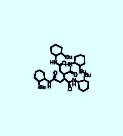 CCC(C)C1CCCCC1NC(=O)CC(C(=O)NC1CCCCC1C(C)CC)C(CC(=O)NC1CCCCC1C(C)CC)C(=O)NC1CCCCC1C(C)CC